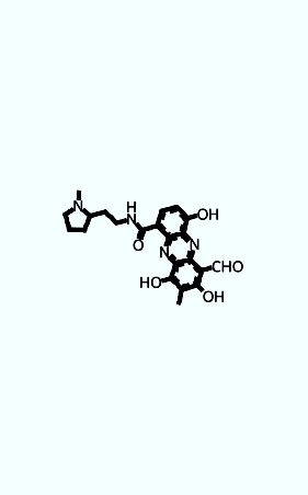 Cc1c(O)c(C=O)c2nc3c(O)ccc(C(=O)NCCC4CCCN4C)c3nc2c1O